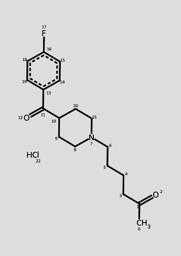 CC(=O)CCCCN1CCC(C(=O)c2ccc(F)cc2)CC1.Cl